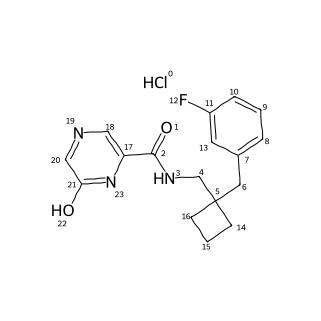 Cl.O=C(NCC1(Cc2cccc(F)c2)CCC1)c1cncc(O)n1